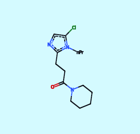 CCCn1c(Cl)cnc1CCC(=O)N1CCCCC1